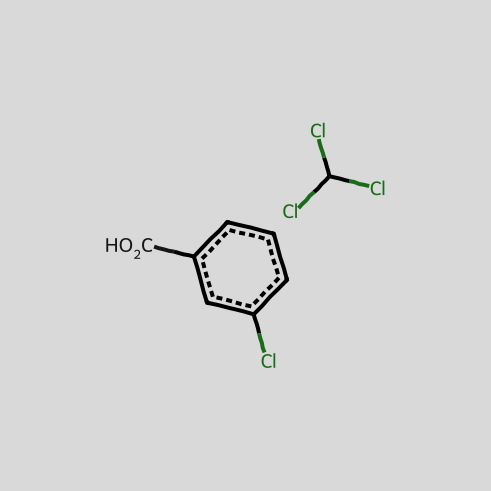 ClC(Cl)Cl.O=C(O)c1cccc(Cl)c1